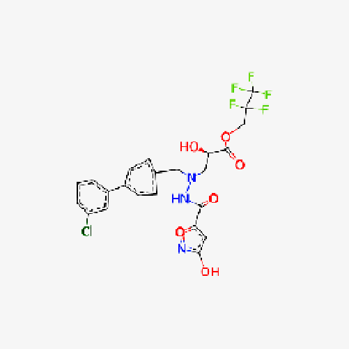 O=C(NN(Cc1ccc(-c2cccc(Cl)c2)cc1)C[C@@H](O)C(=O)OCC(F)(F)C(F)(F)F)c1cc(O)no1